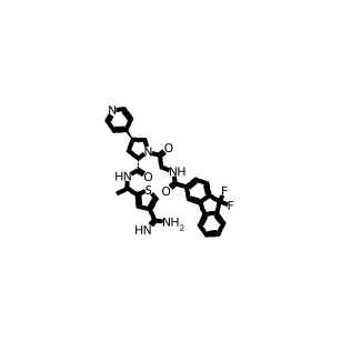 CC(NC(=O)[C@@H]1C[C@@H](c2ccncc2)CN1C(=O)CNC(=O)c1ccc2c(c1)-c1ccccc1C2(F)F)c1cc(C(=N)N)cs1